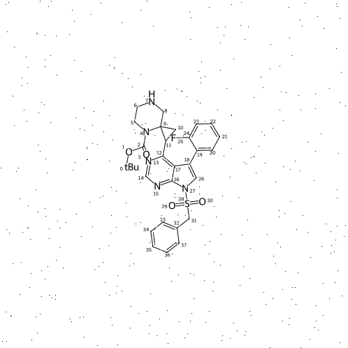 CC(C)(C)OC(=O)N1CCNCC12CC2c1ncnc2c1c(-c1ccccc1F)cn2S(=O)(=O)Cc1ccccc1